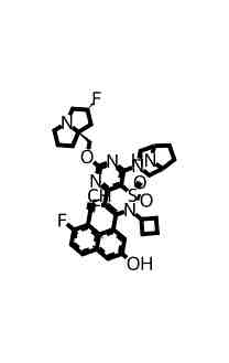 C#Cc1c(F)ccc2cc(O)cc(C3=C(F)c4nc(OC[C@@]56CCCN5C[C@H](F)C6)nc(N5CC6CCC(C5)N6)c4S(=O)(=O)N3C3CCC3)c12